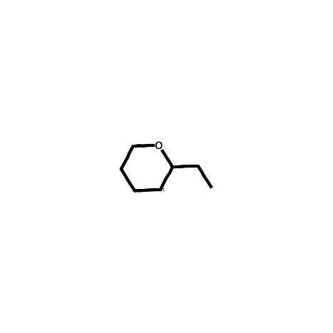 CCC1[C]CCCO1